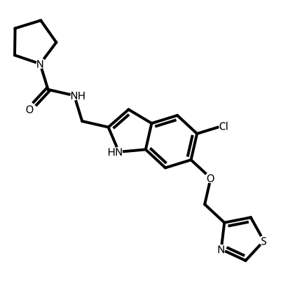 O=C(NCc1cc2cc(Cl)c(OCc3cscn3)cc2[nH]1)N1CCCC1